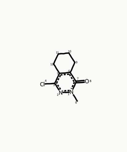 Cn1nc(Cl)c2c(c1=O)CCCC2